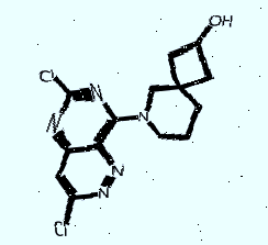 OC1CC2(CCCN(c3nc(Cl)nc4cc(Cl)nnc34)C2)C1